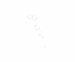 O=C(NCCCN1CCOCC1)Nc1cc(F)c(Oc2ccnc3[nH]cc(Br)c23)c(F)c1